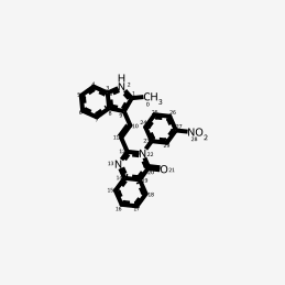 Cc1[nH]c2ccccc2c1/C=C/c1nc2ccccc2c(=O)n1-c1cccc([N+](=O)[O-])c1